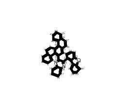 c1ccc2c(c1)ccc1c2c(-c2nc3ccccc3nc2-c2cccc3oc4ccccc4c23)cc2ccc3ccccc3c21